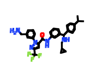 CC(C)c1ccc(C(NCC2CC2)c2cccc(NC(=O)c3cc(C(F)(F)F)nn3-c3cccc(CN)c3)c2)cc1